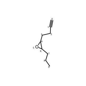 C#CCCC1OC1CCC